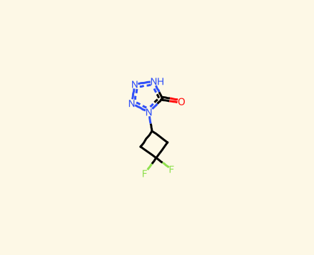 O=c1[nH]nnn1C1CC(F)(F)C1